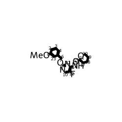 COc1cccc(COc2ncc(F)c(NOC3CCCCO3)n2)c1